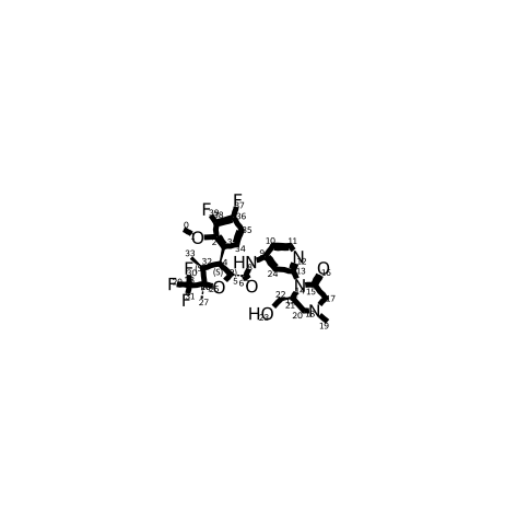 COc1c([C@H]2[C@H](C(=O)Nc3ccnc(N4C(=O)CN(C)C[C@H]4CO)c3)O[C@@](C)(C(F)(F)F)[C@H]2C)ccc(F)c1F